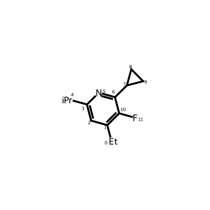 CCc1cc(C(C)C)nc(C2CC2)c1F